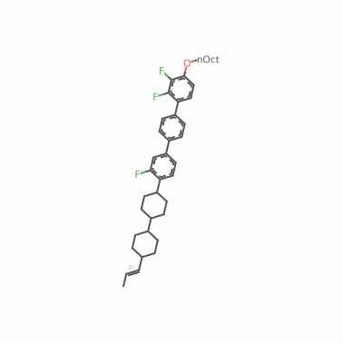 C/C=C/C1CCC(C2CCC(c3ccc(-c4ccc(-c5ccc(OCCCCCCCC)c(F)c5F)cc4)cc3F)CC2)CC1